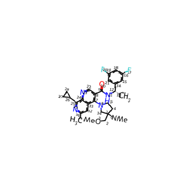 CNC1(COC)CCN(c2c(C(=O)N[C@@H](C)c3cc(F)cc(F)c3)cnc3c(C4CC4)nc(C)cc23)C1